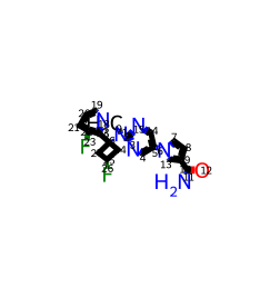 CN(c1ncc(-n2ccc(C(N)=O)c2)cn1)[C@]1(c2ncccc2F)C[C@@H](F)C1